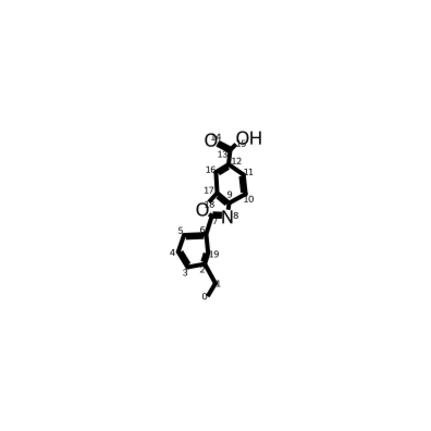 CCc1cccc(-c2nc3ccc(C(=O)O)cc3o2)c1